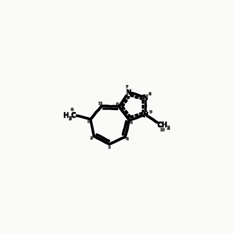 CC1C=CC=c2c(nnn2C)=C1